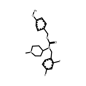 CC(C)Oc1ccc(COC(=O)N(Cc2ccc(F)cc2F)C2CCN(C)CC2)cc1